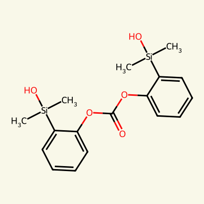 C[Si](C)(O)c1ccccc1OC(=O)Oc1ccccc1[Si](C)(C)O